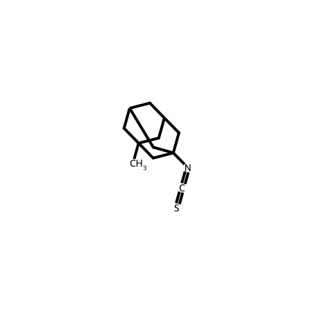 CC12CC3CC(C1)CC(N=C=S)(C3)C2